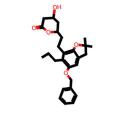 CCCc1c(OCc2ccccc2)cc2c(c1CCC1CC(O)CC(=O)O1)OC(C)(C)C2